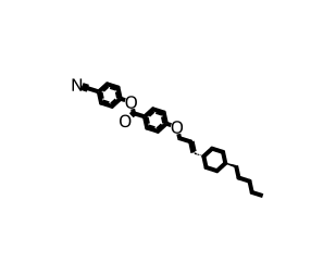 CCCCC[C@H]1CC[C@H](C=CCOc2ccc(C(=O)Oc3ccc(C#N)cc3)cc2)CC1